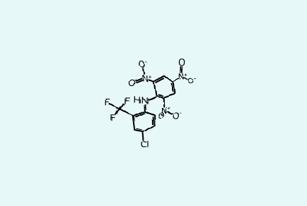 O=[N+]([O-])c1cc([N+](=O)[O-])c(Nc2ccc(Cl)cc2C(F)(F)F)c([N+](=O)[O-])c1